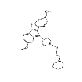 COC1=CC=C2C(=C(c3ccc(OCCN4CCCCC4)cc3)c3c2sc2cc(OC)ccc32)C1